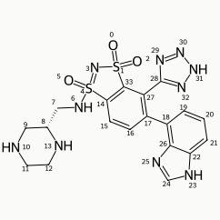 O=S1(=O)N=S(=O)(NC[C@H]2CNCCN2)c2ccc(-c3cccc4[nH]cnc34)c(-c3nn[nH]n3)c21